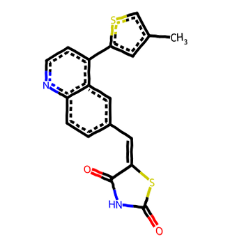 Cc1csc(-c2ccnc3ccc(/C=C4/SC(=O)NC4=O)cc23)c1